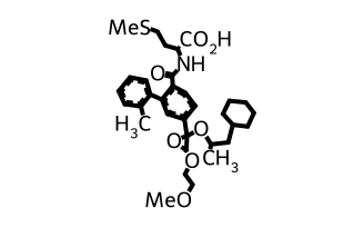 COCCOC1OC1(OC(C)CC1CCCCC1)c1ccc(C(=O)N[C@@H](CCSC)C(=O)O)c(-c2ccccc2C)c1